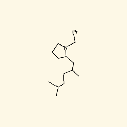 CC(C)CN1CCCC1CC(C)CCN(C)C